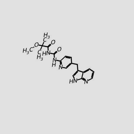 COC(C)(C)C(=O)NC(=O)Nc1ccc(Cc2c[nH]c3ncccc23)cn1